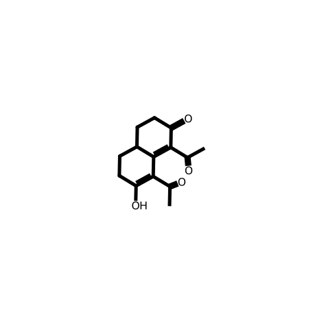 CC(=O)C1=C(O)CCC2CCC(=O)C(C(C)=O)=C12